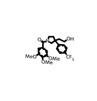 COc1cc(C(=O)N2CCC(CCO)(c3ccc(C(F)(F)F)cc3)C2)cc(OC)c1OC